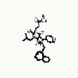 COC(=O)CCn1c(=O)c2c(-c3ccncc3)n(Cc3cccc4ccccc34)nc2n(CC(C)C)c1=O